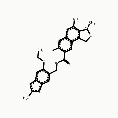 CCOc1cc2nc(C)sc2cc1CNC(=O)c1cc2c3c(c(N)nc2cc1F)[C@@H](C)OC3